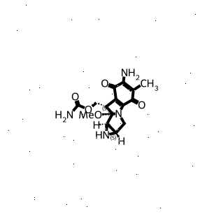 CO[C@@]12[C@H](COC(N)=O)C3=C(C(=O)C(C)=C(N)C3=O)N1C[C@@H]1N[C@H]12